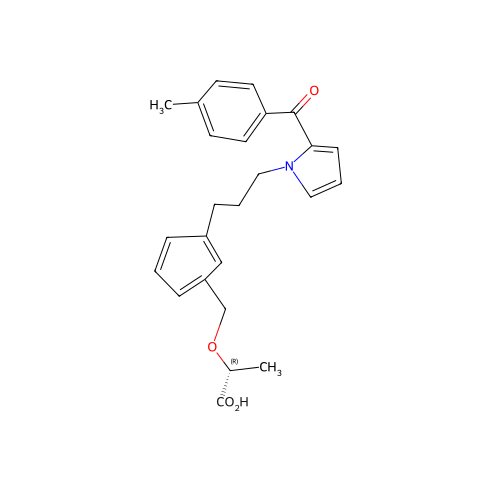 Cc1ccc(C(=O)c2cccn2CCCc2cccc(CO[C@H](C)C(=O)O)c2)cc1